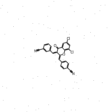 N#Cc1ccc(C=c2oc3c(Cl)cc(Cl)cc3c(=O)c2=Cc2cccc(C#N)c2)cc1